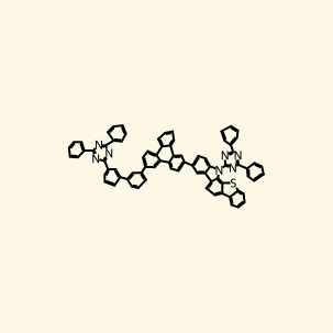 c1ccc(-c2nc(-c3ccccc3)nc(-c3cccc(-c4cccc(-c5ccc6c7ccccc7c7cc(-c8ccc9c(c8)c8ccc%10c%11ccccc%11sc%10c8n9-c8nc(-c9ccccc9)nc(-c9ccccc9)n8)ccc7c6c5)c4)c3)n2)cc1